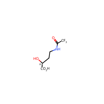 O=C(O)[C@@H](O)CCNC(=O)C(F)(F)F